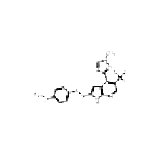 COc1ccc(CSc2cc3c(-c4ncn(C)n4)c(C(F)(F)F)cnc3[nH]2)cc1